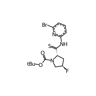 CC(C)(C)OC(=O)N1C[C@H](F)C[C@H]1C(=S)Nc1cccc(Br)n1